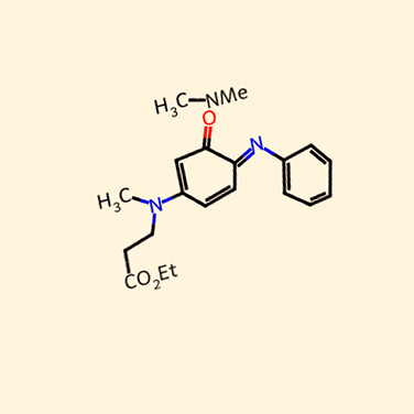 CCOC(=O)CCN(C)C1=CC(=O)C(=Nc2ccccc2)C=C1.CNC